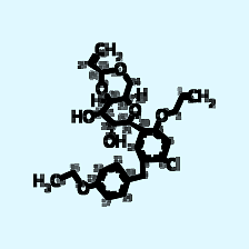 C=CCOc1cc(Cl)c(Cc2ccc(OCC)cc2)cc1[C@@H]1O[C@@H]2CO[C@H](C=C)O[C@H]2[C@H](O)[C@H]1O